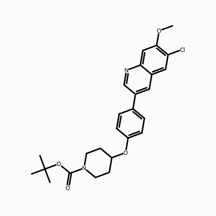 COc1cc2ncc(-c3ccc(OC4CCN(C(=O)OC(C)(C)C)CC4)cc3)cc2cc1Cl